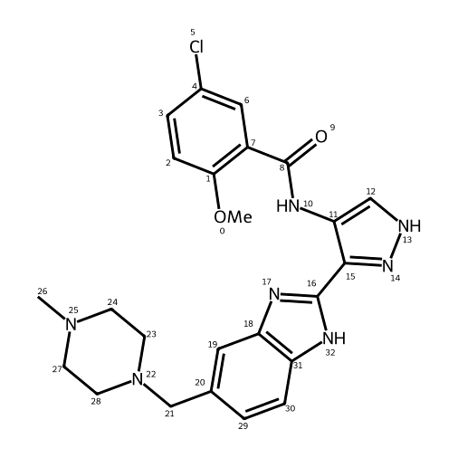 COc1ccc(Cl)cc1C(=O)Nc1c[nH]nc1-c1nc2cc(CN3CCN(C)CC3)ccc2[nH]1